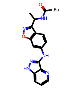 CC(NC(=O)C(C)(C)C)c1noc2cc(Nc3n[nH]c4cccnc34)ccc12